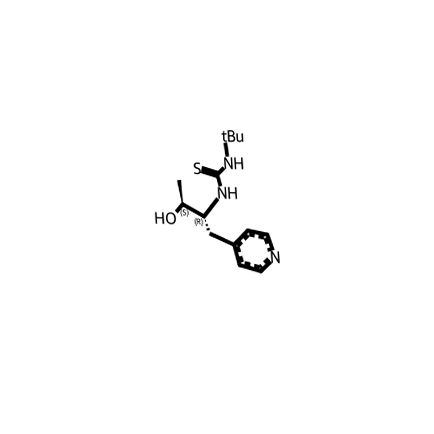 C[C@H](O)[C@@H](Cc1ccncc1)NC(=S)NC(C)(C)C